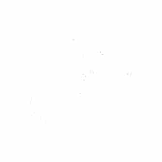 CC1(O)CC(Nc2nnc(-c3ccc(/C=C/C(F)(F)F)cc3O)c3c2CCCC3)C1